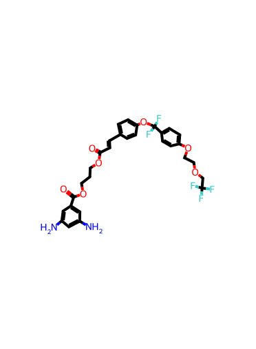 Nc1cc(N)cc(C(=O)OCCCOC(=O)C=Cc2ccc(OC(F)(F)c3ccc(OCCOCC(F)(F)F)cc3)cc2)c1